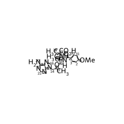 COc1ccc(C(=O)N[P@@](=O)(CO[C@H](C)Cn2cnc3c(N)ncnc32)NC(C)(C)C(=O)O)cc1